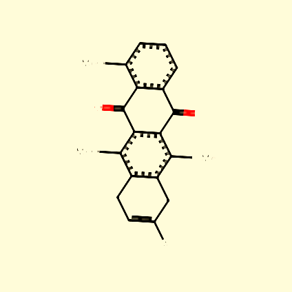 COc1cccc2c1C(=O)c1c(OC)c3c(c(OC)c1C2=O)CC(C(C)=O)=CC3